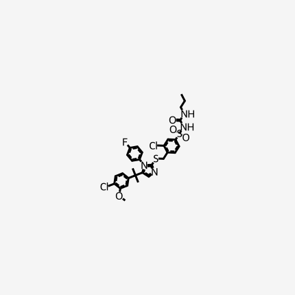 CCCNC(=O)NS(=O)(=O)c1ccc(CSc2ncc(C(C)(C)c3ccc(Cl)c(OC)c3)n2-c2ccc(F)cc2)c(Cl)c1